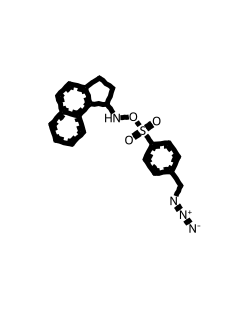 [N-]=[N+]=NCc1ccc(S(=O)(=O)ONC2CCc3ccc4ccccc4c32)cc1